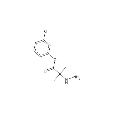 CC(C)(NN)C(=O)Oc1cccc(Cl)c1